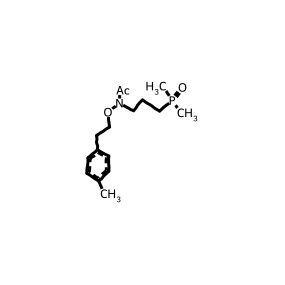 CC(=O)N(CCCP(C)(C)=O)OCCc1ccc(C)cc1